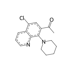 CC(=O)c1cc(Cl)c2cccnc2c1N1CCCCC1